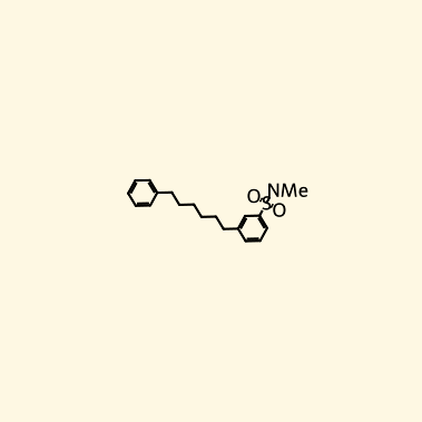 CNS(=O)(=O)c1cccc(CCCCCCc2ccccc2)c1